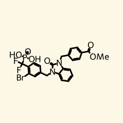 COC(=O)c1ccc(Cn2c(=O)n(Cc3ccc(C(F)(F)P(=O)(O)O)c(Br)c3)c3ccccc32)cc1